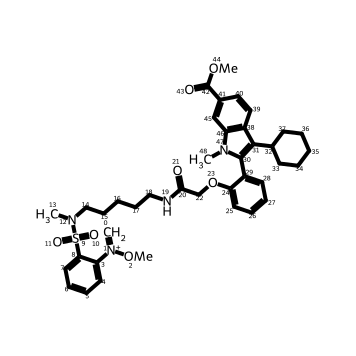 C=[N+](OC)c1ccccc1S(=O)(=O)N(C)CCCCCNC(=O)COc1ccccc1-c1c(C2CCCCC2)c2ccc(C(=O)OC)cc2n1C